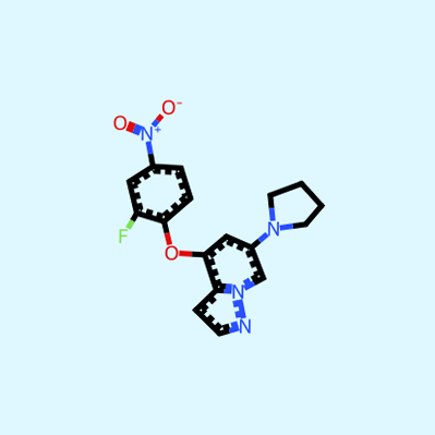 O=[N+]([O-])c1ccc(Oc2cc(N3CCCC3)cn3nccc23)c(F)c1